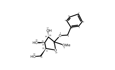 COC1(OCc2ccccc2)O[C@@H](CO)[C@@H](O)[C@@H]1O